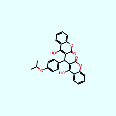 CC(C)Oc1ccc(C(c2c(O)c3ccccc3oc2=O)c2c(O)c3ccccc3oc2=O)cc1